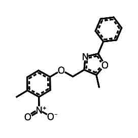 Cc1ccc(OCc2nc(-c3ccccc3)oc2C)cc1[N+](=O)[O-]